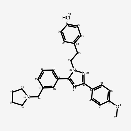 COc1ccc(-c2nc(-c3cccc(CN4CCCC4)c3)n(CCc3ccccc3)n2)cc1.Cl